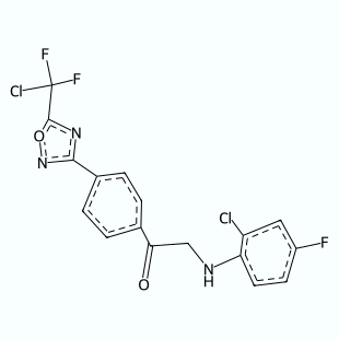 O=C(CNc1ccc(F)cc1Cl)c1ccc(-c2noc(C(F)(F)Cl)n2)cc1